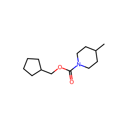 CC1CCN(C(=O)OCC2CCCC2)CC1